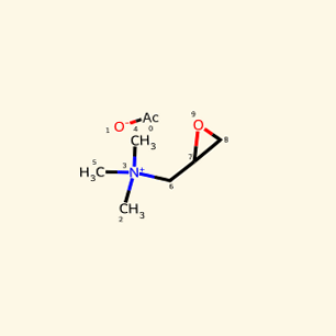 CC(=O)[O-].C[N+](C)(C)CC1CO1